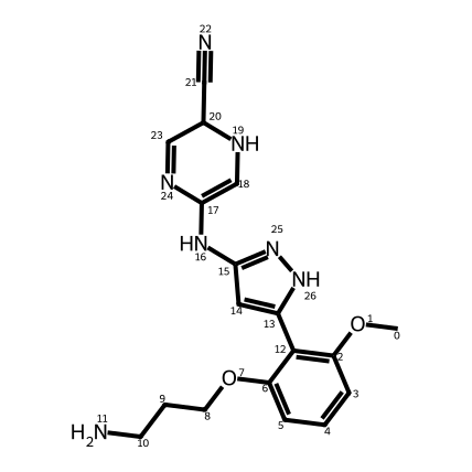 COc1cccc(OCCCN)c1-c1cc(NC2=CNC(C#N)C=N2)n[nH]1